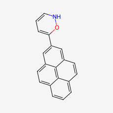 C1=CNOC(c2cc3ccc4cccc5ccc(c2)c3c45)=C1